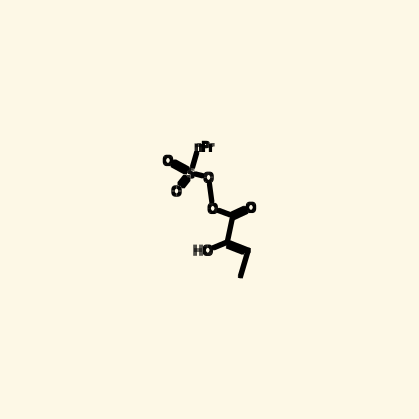 CC=C(O)C(=O)OOS(=O)(=O)CCC